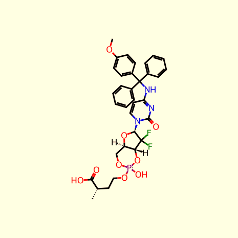 COc1ccc(C(Nc2ccn([C@@H]3O[C@@H]4CO[P](O)(OCC[C@H](C)C(=O)O)O[C@H]4C3(F)F)c(=O)n2)(c2ccccc2)c2ccccc2)cc1